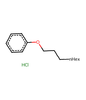 CCCCCCCCCOc1ccccc1.Cl